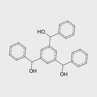 OC(c1ccccc1)c1cc(C(O)c2ccccc2)cc(C(O)c2ccccc2)c1